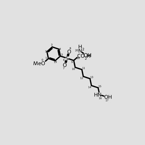 COc1cccc(S(=O)(=O)C(CCCCCCNO)C(=O)O)c1.NO